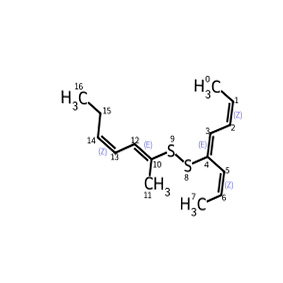 C\C=C/C=C(\C=C/C)SS/C(C)=C/C=C\CC